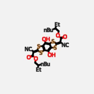 [C-]#[N+]C(C(=O)OCC(CC)CCCC)=C1Sc2c(O)c3c(c(O)c2S1)SC(=C(C#N)C(=O)OCC(CC)CCCC)S3